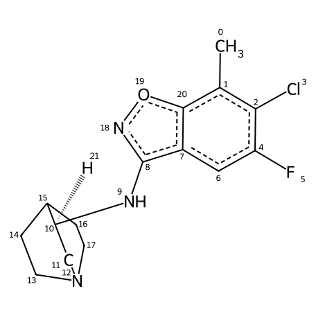 Cc1c(Cl)c(F)cc2c(N[C@H]3CN4CCC3CC4)noc12